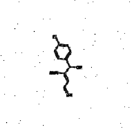 CN/C(=C\C=N)C(O)c1ccc(Cl)cc1